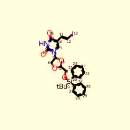 CC(C)(C)[Si](OCC1OCC(n2cc(/C=C/I)c(=O)[nH]c2=O)O1)(c1ccccc1)c1ccccc1